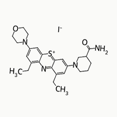 CCc1cc(N2CCOCC2)cc2[s+]c3cc(N4CCCC(C(N)=O)C4)cc(CC)c3nc12.[I-]